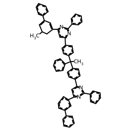 CC1C=C(c2ccccc2)C=C(c2cc(-c3ccc(C(C)(c4ccccc4)c4ccc(-c5cc(-c6cccc(-c7ccccc7)c6)nc(-c6ccccc6)n5)cc4)cc3)nc(-c3ccccc3)n2)C1